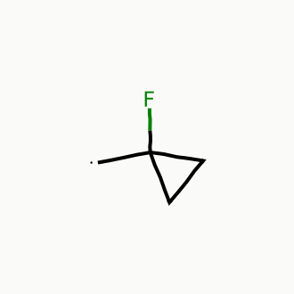 [CH2]C1(F)CC1